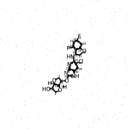 O[C@@H]1CO[C@H]2[C@@H]1OC[C@H]2Oc1nc2nc(N[C@@H]3COc4cc(F)cc(F)c43)c(Cl)cc2[nH]1